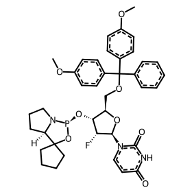 COc1ccc(C(OC[C@H]2O[C@@H](n3ccc(=O)[nH]c3=O)[C@H](F)[C@@H]2O[P@@]2OC3(CCCC3)[C@H]3CCCN32)(c2ccccc2)c2ccc(OC)cc2)cc1